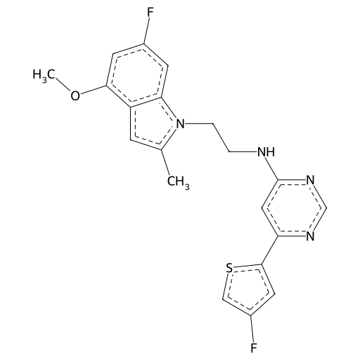 COc1cc(F)cc2c1cc(C)n2CCNc1cc(-c2cc(F)cs2)ncn1